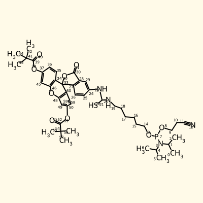 CC(C)N(C(C)C)P(OCCC#N)OCCCCCCNC(S)Nc1ccc2c(c1)C(=O)OC21c2ccc(OC(=O)C(C)(C)C)cc2Oc2cc(OC(=O)C(C)(C)C)ccc21